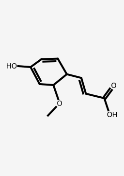 COC1C=C(O)C=CC1C=CC(=O)O